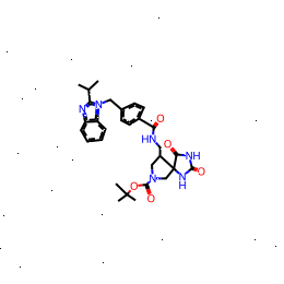 CC(C)c1nc2ccccc2n1Cc1ccc(C(=O)NCC2CN(C(=O)OC(C)(C)C)CC23NC(=O)NC3=O)cc1